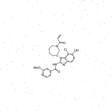 C=CC(=O)N1CCCC[C@@H](n2c(NC(=O)c3ccnc(OC)c3)nc3ccc(O)c(Cl)c32)C1